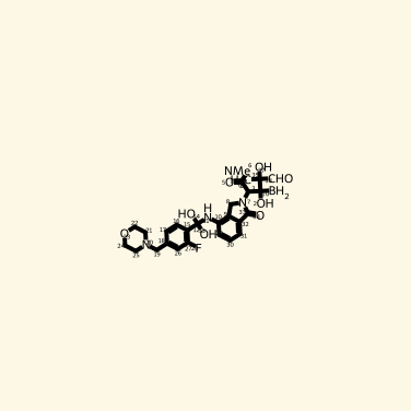 BC(O)(C(C(=O)NC)N1Cc2c(NC(O)(O)c3ccc(CN4CCOCC4)cc3F)cccc2C1=O)C(C)(O)C=O